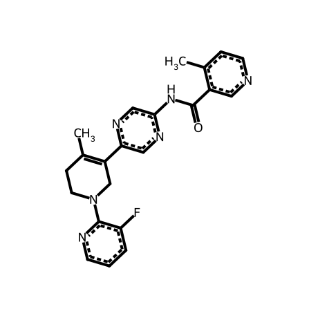 CC1=C(c2cnc(NC(=O)c3cnccc3C)cn2)CN(c2ncccc2F)CC1